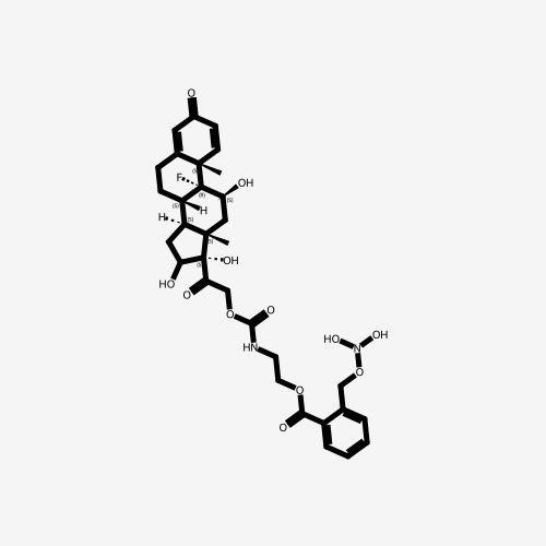 C[C@]12C=CC(=O)C=C1CC[C@H]1[C@@H]3CC(O)[C@](O)(C(=O)COC(=O)NCCOC(=O)c4ccccc4CON(O)O)[C@@]3(C)C[C@H](O)[C@@]12F